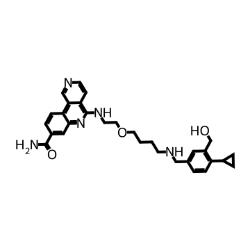 NC(=O)c1ccc2c(c1)nc(NCCOCCCCNCc1ccc(C3CC3)c(CO)c1)c1ccncc12